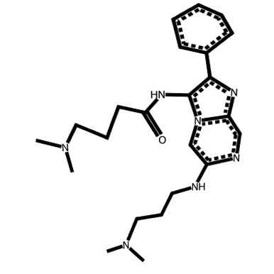 CN(C)CCCNc1cn2c(NC(=O)CCCN(C)C)c(-c3ccccc3)nc2cn1